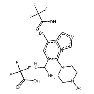 CC(=O)N1CCN(c2c(C(C)N)cc(Br)c3cncn23)CC1.O=C(O)C(F)(F)F.O=C(O)C(F)(F)F